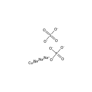 O=P([O-])([O-])[O-].O=S(=O)([O-])[O-].[Cu+2].[Na+].[Na+].[Na+]